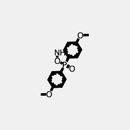 COc1ccc(P(=O)(ON)c2ccc(OC)cc2)cc1